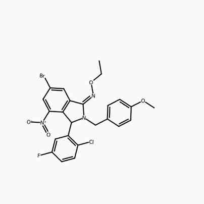 CCON=C1c2cc(Br)cc([N+](=O)[O-])c2C(c2cc(F)ccc2Cl)N1Cc1ccc(OC)cc1